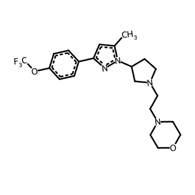 Cc1cc(-c2ccc(OC(F)(F)F)cc2)nn1C1CCN(CCN2CCOCC2)C1